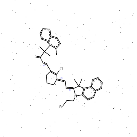 C=C(/C=C/C1=C(Cl)C(=C/C=C2/N(CCC(C)C)c3ccc4ccccc4c3C2(C)C)/CCC1)C(C)(C)c1c(C)ccc2ccccc12